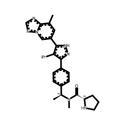 Cc1cc(-c2[nH]nc(-c3ccc([C@H](C)N(C)C(=O)[C@@H]4CCCN4)cc3)c2C(C)C)cn2ncnc12